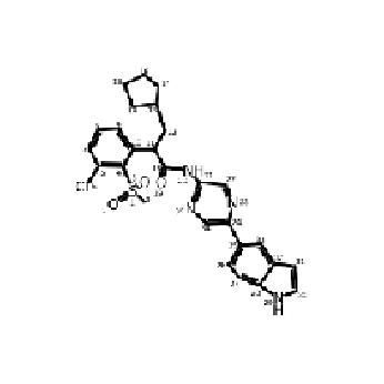 CS(=O)(=O)c1c(Cl)cccc1C(CC1CCCC1)C(=O)Nc1cnc(-c2ccc3[nH]ccc3c2)cn1